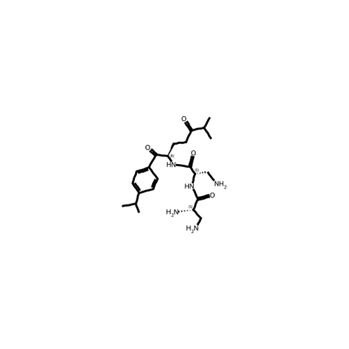 CC(C)C(=O)CC[C@@H](NC(=O)[C@H](CN)NC(=O)[C@@H](N)CN)C(=O)c1ccc(C(C)C)cc1